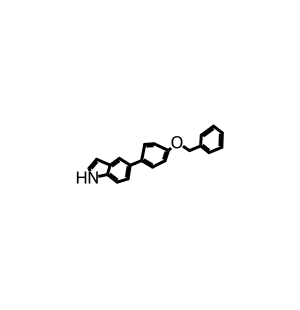 c1ccc(COc2ccc(-c3ccc4[nH]ccc4c3)cc2)cc1